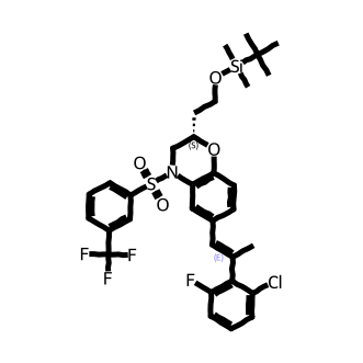 C/C(=C\c1ccc2c(c1)N(S(=O)(=O)c1cccc(C(F)(F)F)c1)C[C@H](CCO[Si](C)(C)C(C)(C)C)O2)c1c(F)cccc1Cl